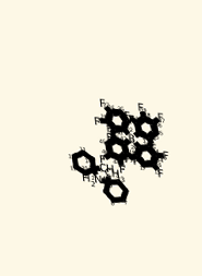 CC1([NH2+]C2(C)CCCCC2)CCCCC1.Fc1cc(F)c([B-](c2c(F)cc(F)c(F)c2F)(c2c(F)cc(F)c(F)c2F)c2c(F)cc(F)c(F)c2F)c(F)c1F